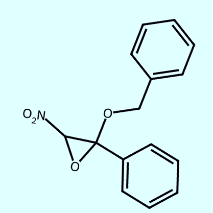 O=[N+]([O-])C1OC1(OCc1ccccc1)c1ccccc1